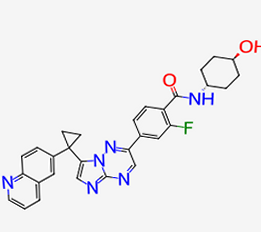 O=C(N[C@H]1CC[C@H](O)CC1)c1ccc(-c2cnc3ncc(C4(c5ccc6ncccc6c5)CC4)n3n2)cc1F